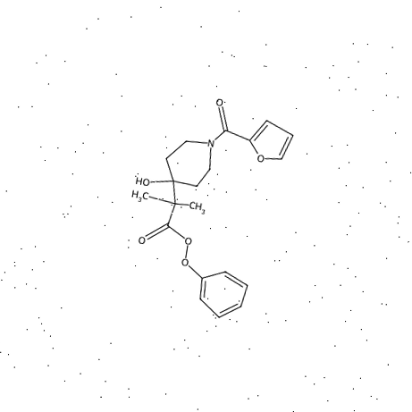 CC(C)(C(=O)OOc1ccccc1)C1(O)CCN(C(=O)c2ccco2)CC1